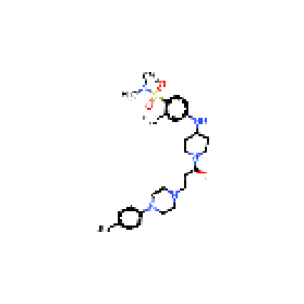 CN(C)S(=O)(=O)c1ccc(NC2CCN(C(=O)CCN3CCN(c4ccc(C(C)(C)C)cc4)CC3)CC2)cc1C(F)(F)F